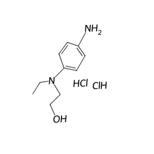 CCN(CCO)c1ccc(N)cc1.Cl.Cl